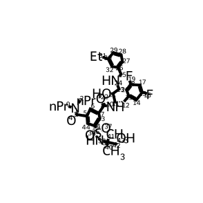 CCCN(CCC)C(=O)c1cc(C(=O)N[C@@H](Cc2cc(F)cc(F)c2)[C@H](O)CNCc2cccc(CC)c2)cc(S(=O)(=O)NC(C)(C)CO)c1